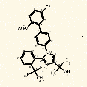 COc1ccc(F)cc1-c1ccc(-n2cc(C(C)(C)O)nc2-c2ccccc2C(C)(F)F)cc1